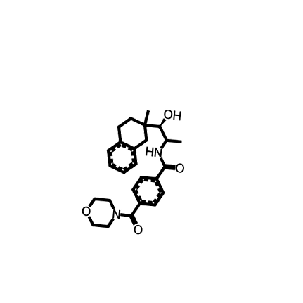 CC(NC(=O)c1ccc(C(=O)N2CCOCC2)cc1)[C@H](O)C1(C)CCc2ccccc2C1